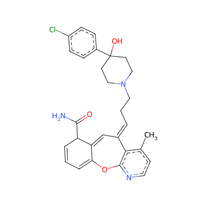 Cc1ccnc2c1C(=CCCN1CCC(O)(c3ccc(Cl)cc3)CC1)C=C1C(=CC=CC1C(N)=O)O2